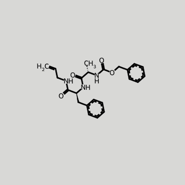 C=CCNC(=O)[C@H](Cc1ccccc1)NC(=O)[C@H](C)NC(=O)OCc1ccccc1